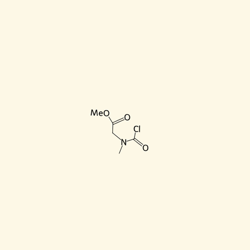 COC(=O)CN(C)C(=O)Cl